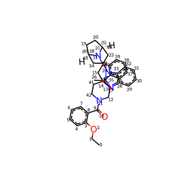 CCOc1ccccc1C(=O)N1CCC(CCN2[C@@H]3CC[C@H]2C[C@@H](n2c(C)nc4ccccc42)C3)(c2ccccc2)CC1